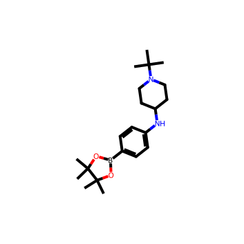 CC(C)(C)N1CCC(Nc2ccc(B3OC(C)(C)C(C)(C)O3)cc2)CC1